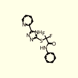 O=C(Nc1ccccc1)C(F)(F)Sc1nnc(-c2ccccn2)[nH]1